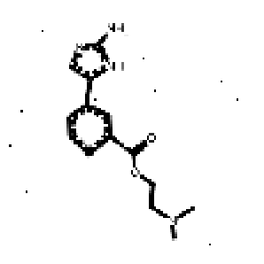 CN(C)CCOC(=O)c1cccc(-c2cnc(N)[nH]2)c1